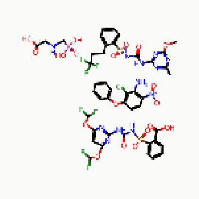 COc1nc(C)nc(NC(=O)NS(=O)(=O)c2ccccc2CCC(F)(F)F)n1.Nc1c([N+](=O)[O-])ccc(Oc2ccccc2)c1Cl.O=C(Nc1nc(OC(F)F)cc(OC(F)F)n1)NS(=O)(=O)c1ccccc1C(=O)O.O=C(O)CNCP(=O)(O)O